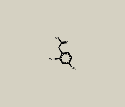 CCCCC(=O)Oc1ccc(N)cc1OC